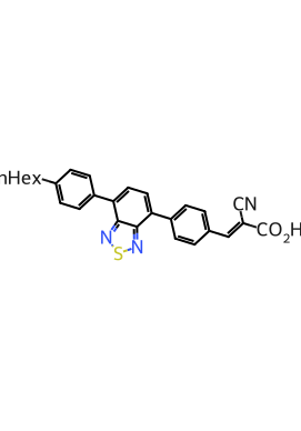 CCCCCCc1ccc(-c2ccc(-c3ccc(/C=C(\C#N)C(=O)O)cc3)c3nsnc23)cc1